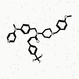 COc1ccc(CN2CCC(N(Cc3ccc(N(C)c4ccncc4)cc3)C(=O)C=Cc3ccc(C(F)(F)F)cc3)CC2)cc1